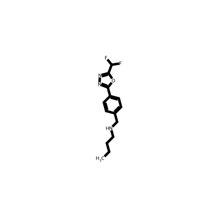 CCCCNCc1ccc(-c2nnc(C(F)F)o2)cc1